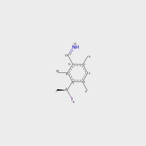 Cc1cc(C)c([C@H](C)I)c(C)c1C=N